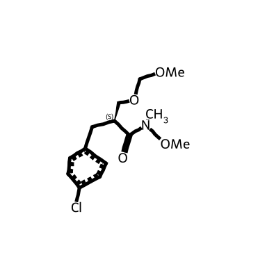 COCOC[C@H](Cc1ccc(Cl)cc1)C(=O)N(C)OC